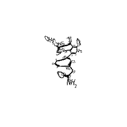 Cn1cc(-c2cccc(CC(N)=O)c2)c2sc(C=O)cc2c1=O